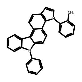 Cc1ccccc1-n1ccc2ccc3c(ccc4c3c3ccccc3n4-c3ccccc3)c21